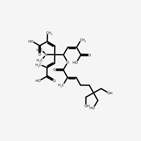 CC(=CC(OC(=O)C(C)=CCCC(CO)(CO)CO)C(C=C(C)C(=O)O)(C=C(C)C(=O)O)N(C)C)C(=O)O